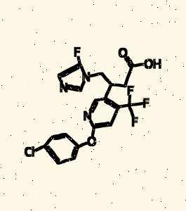 O=C(O)CC(Cn1cncc1F)c1cnc(Oc2ccc(Cl)cc2)cc1C(F)(F)F